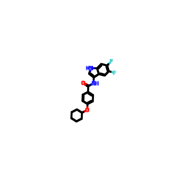 O=C(Nc1c[nH]c2cc(F)c(F)cc12)c1ccc(OC2CCCCC2)cc1